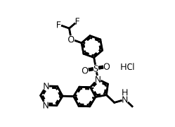 CNCc1cn(S(=O)(=O)c2cccc(OC(F)F)c2)c2cc(-c3cncnc3)ccc12.Cl